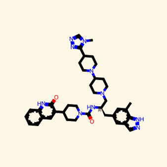 Cc1cc(C[C@H](CN2CCC(N3CCC(c4nncn4C)CC3)CC2)NC(=O)N2CCC(c3cc4ccccc4[nH]c3=O)CC2)cc2cn[nH]c12